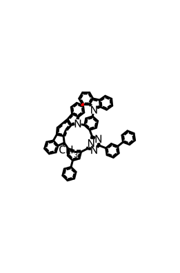 CC12c3cc(-c4ccccc4)cc(c3)-c3nc(-c4cccc(-c5ccccc5)c4)nc(n3)-c3ccc(-n4c5ccccc5c5ccccc54)cc3-n3c4ccccc4c4cc(c1cc43)-c1ccccc12